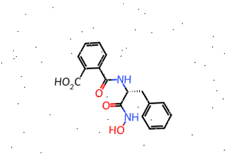 O=C(O)c1ccccc1C(=O)N[C@H](Cc1ccccc1)C(=O)NO